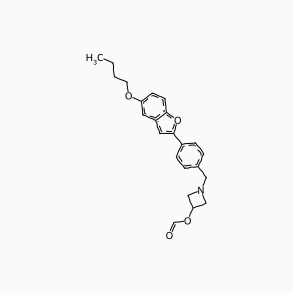 CCCCOc1ccc2oc(-c3ccc(CN4CC(OC=O)C4)cc3)cc2c1